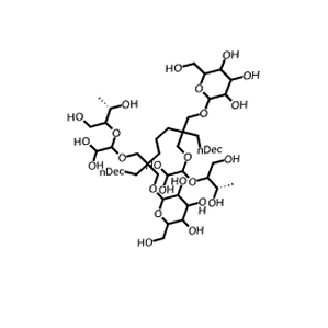 CCCCCCCCCCCC(CCCC(CCCCCCCCCCC)(COC(OC(CO)[C@H](C)O)C(O)O)COC1OC(CO)C(O)C(O)C1O)(COC(OC(CO)[C@H](C)O)C(O)O)COC1OC(CO)C(O)C(O)C1O